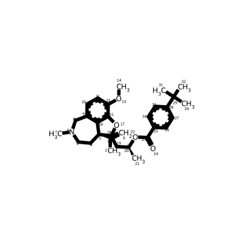 C=C(C)[C@@]12CCN(C)Cc3ccc(OC)c(c31)OC2C[C@H](C)OC(=O)c1ccc(C(C)(C)C)cc1